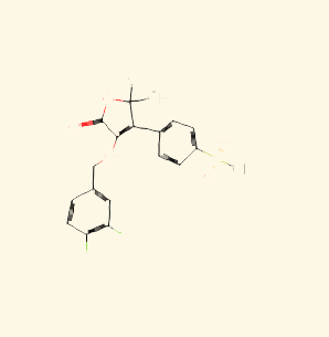 CC1(C)OC(=O)C(OCc2ccc(F)c(F)c2)=C1c1ccc(S(C)(=O)=O)cc1